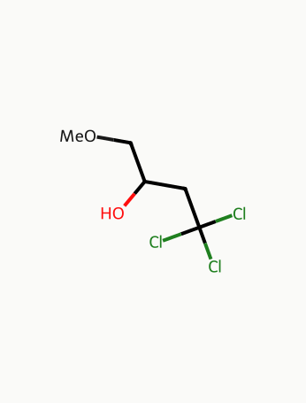 COCC(O)CC(Cl)(Cl)Cl